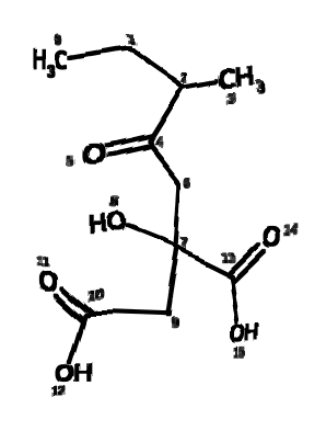 CCC(C)C(=O)CC(O)(CC(=O)O)C(=O)O